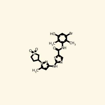 Cc1c(O)cc(Br)c(C)c1NC(=O)c1cnc(Nc2cc(C)n(C3CCS(=O)(=O)C3)n2)s1